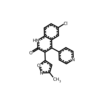 Cc1cc(-c2c(-c3ccncc3)c3cc(Cl)ccc3[nH]c2=O)on1